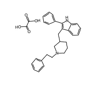 O=C(O)C(=O)O.c1ccc(CCN2CCCC(Cc3c(-c4ccccc4)[nH]c4ccccc34)C2)cc1